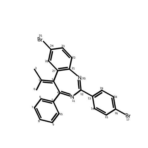 CC(C)=C1C(c2ccccc2)=NC(c2ccc(Br)cc2)=Nc2ccc(Br)cc21